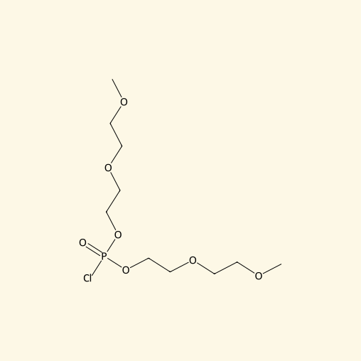 COCCOCCOP(=O)(Cl)OCCOCCOC